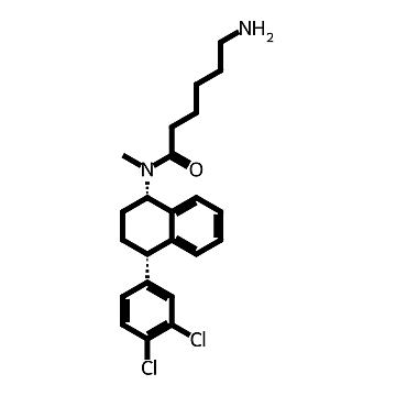 CN(C(=O)CCCCCN)[C@H]1CC[C@@H](c2ccc(Cl)c(Cl)c2)c2ccccc21